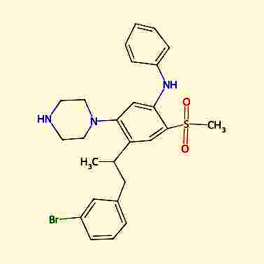 CC(Cc1cccc(Br)c1)c1cc(S(C)(=O)=O)c(Nc2ccccc2)cc1N1CCNCC1